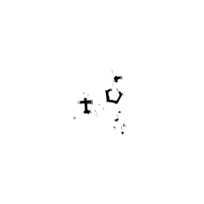 CS(=O)(=O)OC[C@H]1CN(C(=O)O)C[C@H]1N.O=C(O)C(F)(F)F